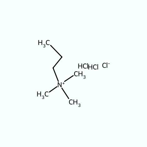 CCC[N+](C)(C)C.Cl.Cl.[Cl-]